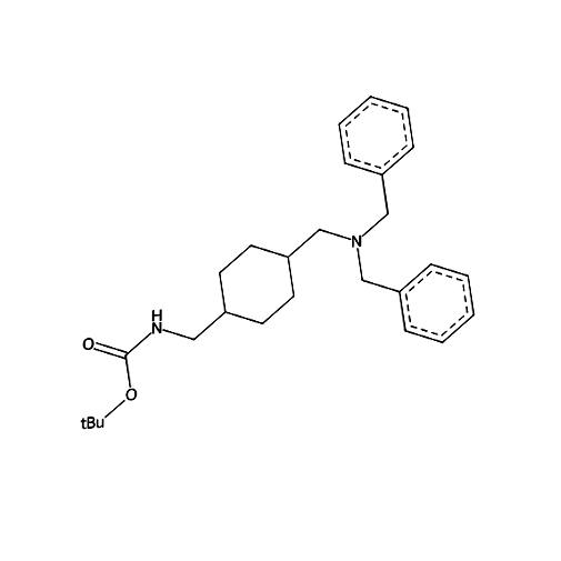 CC(C)(C)OC(=O)NCC1CCC(CN(Cc2ccccc2)Cc2ccccc2)CC1